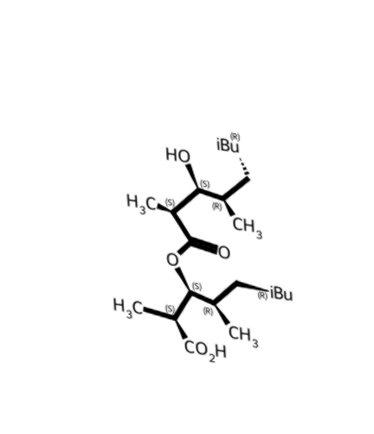 CC[C@@H](C)C[C@@H](C)[C@H](O)[C@H](C)C(=O)O[C@@H]([C@H](C)C[C@H](C)CC)[C@H](C)C(=O)O